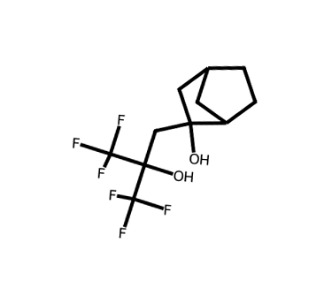 OC1(CC(O)(C(F)(F)F)C(F)(F)F)CC2CCC1C2